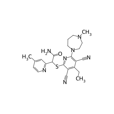 CCc1c(C#N)c(SC(C(N)=O)c2cc(C)ccn2)nc(N2CCCN(C)CC2)c1C#N